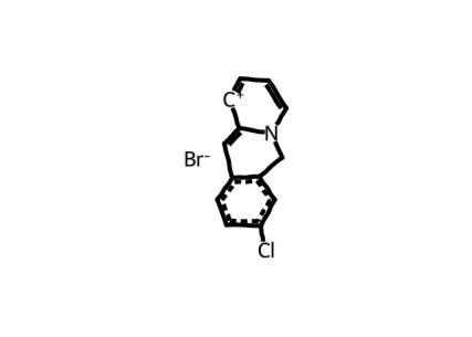 Clc1ccc2c(c1)CN1C=CC=[C+]C1=C2.[Br-]